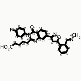 C=NCc1ccccc1C1CC(c2ccc3c(=O)n(-c4ccc(F)cc4)c(CCCCC(=O)O)nc3c2)=NO1